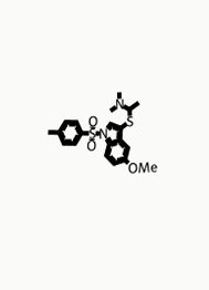 COc1ccc2c(c1)c(SC(C)N(C)C)cn2S(=O)(=O)c1ccc(C)cc1